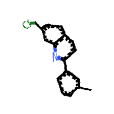 Cc1cccc(-c2ccc3ccc(Cl)cc3n2)c1